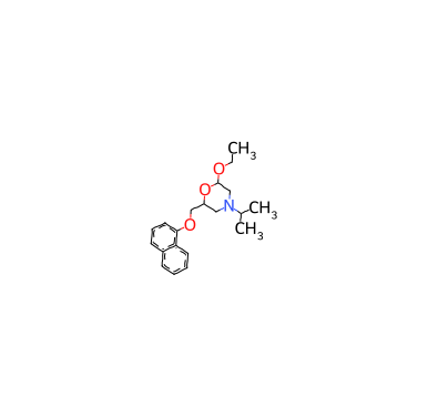 CCOC1CN(C(C)C)CC(COc2cccc3ccccc23)O1